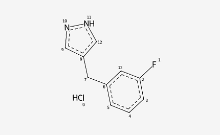 Cl.Fc1cccc(Cc2cn[nH]c2)c1